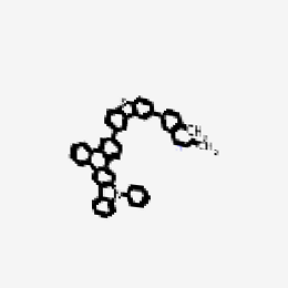 C=C/C=C\c1cc(-c2ccc3sc4ccc(-c5ccc6c(c5)c5ccccc5c5cc7c8ccccc8n(-c8ccccc8)c7cc65)cc4c3c2)ccc1C